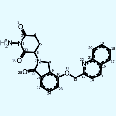 NN1C(=O)CCC(N2Cc3c(OCc4ccc5ccccc5n4)cccc3C2=O)C1=O